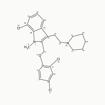 Cn1c(COc2ccc(Cl)cc2Cl)c(CCN2CCCCC2)c2cccc(Cl)c21